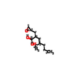 CCC/C(C)=C/C(CC1CO1)C(=O)O